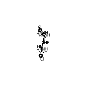 F.F.N=C(NCCCCCCNC(=N)NC(=N)Nc1ccc(Cl)cc1)NC(=N)Nc1ccc(Cl)cc1